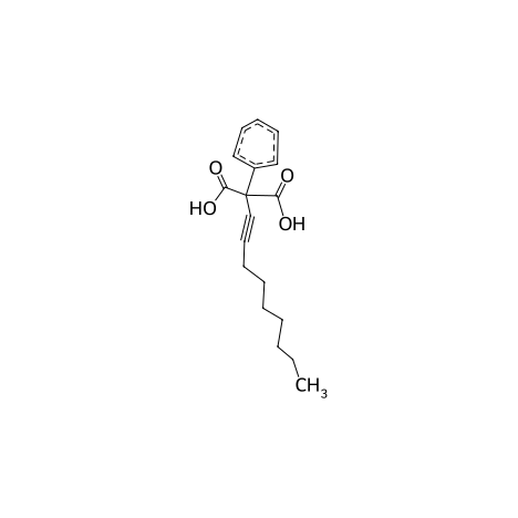 CCCCCCCC#CC(C(=O)O)(C(=O)O)c1ccccc1